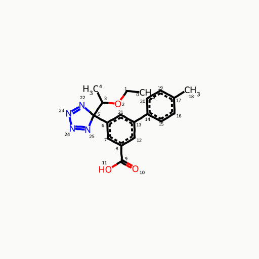 CCOC(C)C1(c2cc(C(=O)O)cc(-c3ccc(C)cc3)c2)N=NN=N1